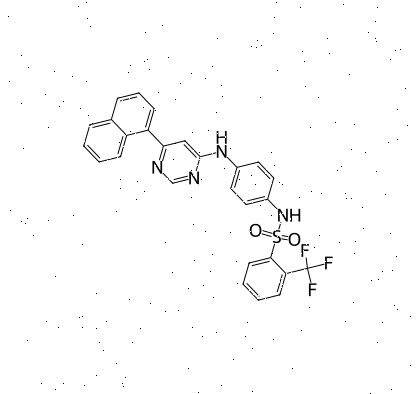 O=S(=O)(Nc1ccc(Nc2cc(-c3cccc4ccccc34)ncn2)cc1)c1ccccc1C(F)(F)F